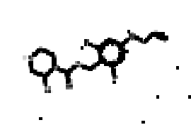 C=CCOc1cc(F)c(COC(=O)N2CCNCC2CC)c(F)c1